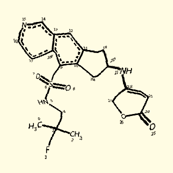 CC(C)(F)CNS(=O)(=O)c1c2c(cc3cnccc13)CC(NC1=CC(=O)OC1)C2